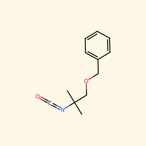 CC(C)(COCc1ccccc1)N=C=O